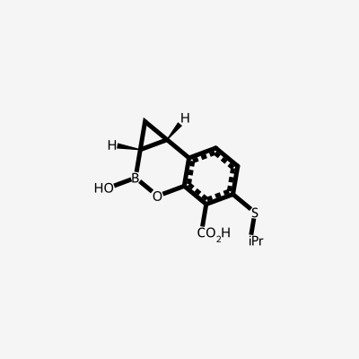 CC(C)Sc1ccc2c(c1C(=O)O)OB(O)[C@@H]1C[C@H]21